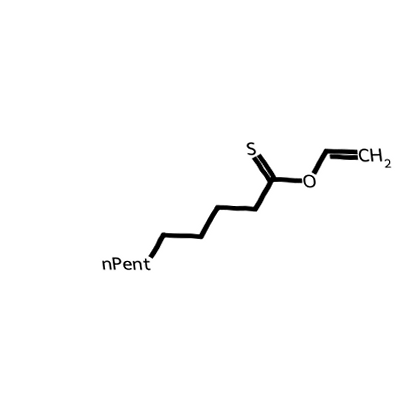 C=COC(=S)CCCCCCCCC